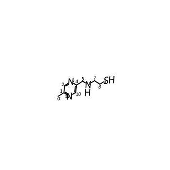 Cc1cnc(CNCCS)cn1